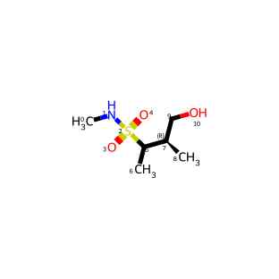 CNS(=O)(=O)C(C)[C@H](C)CO